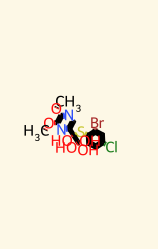 COc1ncc(C(O)(Sc2ccc(Cl)cc2Br)C(O)(O)O)nc1OC